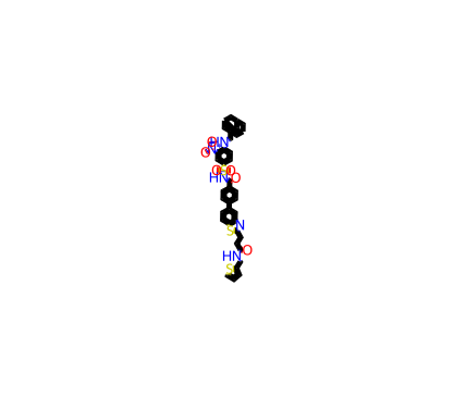 O=C(CCc1nc2cc(-c3ccc(C(=O)NS(=O)(=O)c4ccc(NCC56CC7CC(CC(C7)C5)C6)c([N+](=O)[O-])c4)cc3)ccc2s1)NCc1cccs1